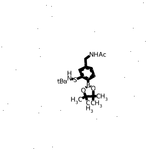 CC(=O)NCc1ccc(B2OC(C)(C)C(C)(C)O2)c(SNC(C)(C)C)c1